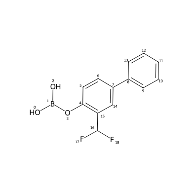 OB(O)Oc1ccc(-c2ccccc2)cc1C(F)F